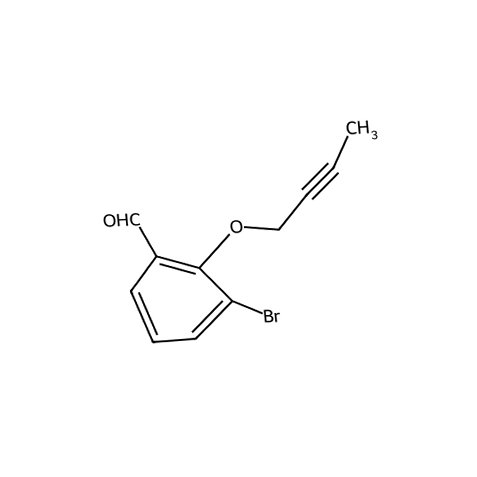 CC#CCOc1c(Br)cccc1C=O